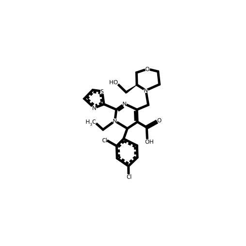 CCN1C(c2nccs2)=NC(CN2CCOC[C@@H]2CO)=C(C(=O)O)C1c1ccc(Cl)cc1Cl